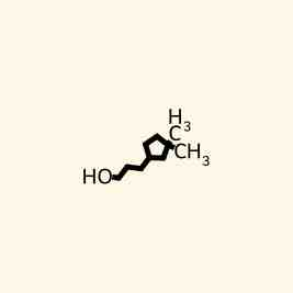 CC1(C)CCC(CCCO)C1